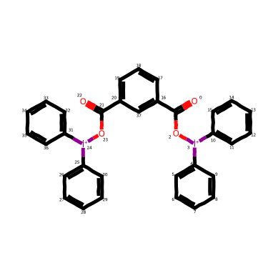 O=C(O[I+](c1ccccc1)c1ccccc1)c1cccc(C(=O)O[I+](c2ccccc2)c2ccccc2)c1